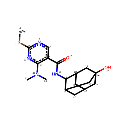 CCCSc1ncc(C(=O)NC2C3CC4CC2CC(O)(C4)C3)c(N(C)C)n1